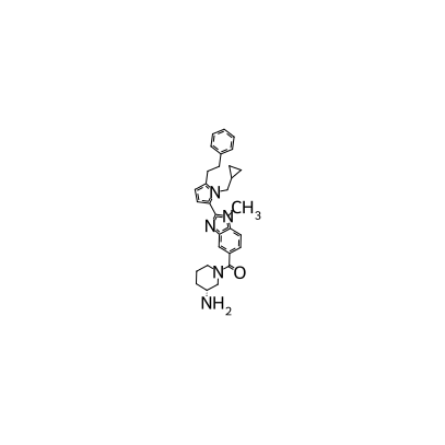 Cn1c(-c2ccc(CCc3ccccc3)n2CC2CC2)nc2cc(C(=O)N3CCC[C@@H](N)C3)ccc21